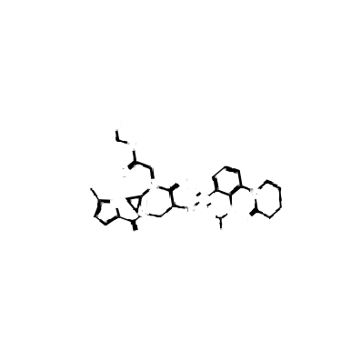 CCOC(=O)CN(C(=O)C(CNC(=O)c1ccc(Cl)s1)NS(=O)(=O)c1cccc(N2CCCCC2=O)c1OC(F)F)C1CC1